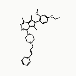 CCOc1ccc(-n2c(C)c3c(C)nnc(N4CCN(CC=Cc5ccccc5)CC4)c3c2C)c(OC)c1